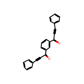 O=C(C#Cc1ccccc1)c1cccc(C(=O)C#Cc2ccccc2)c1